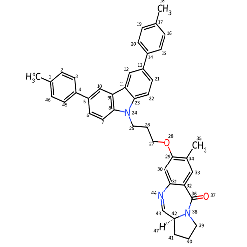 Cc1ccc(-c2ccc3c(c2)c2cc(-c4ccc(C)cc4)ccc2n3CCCOc2cc3c(cc2C)C(=O)N2CCC[C@H]2C=N3)cc1